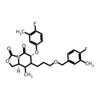 Cc1cc(COCCCC2C(C)[C@H]3COC(=O)N3C(=O)[C@@H]2Oc2ccc(F)c(C)c2)ccc1F